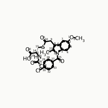 COc1ccc2c(c1)c(CC(=O)SC[C@H](NC(C)=O)C(=O)O)c(C)n2C(=O)c1ccc(Cl)cc1